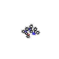 c1ccc(-c2nnn(-c3ccc4c(c3)c3ccccc3n4-c3cccc(-n4c5ccccc5c5cc6c(cc54)oc4ccccc46)c3)c2-c2ccccc2)cc1